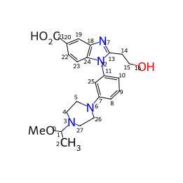 COC(C)N1CCN(c2cccc(-n3c(CCO)nc4cc(C(=O)O)ccc43)c2)CC1